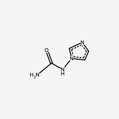 NC(=O)Nn1ccnc1